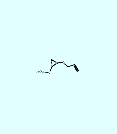 C=CCON1CC1OC(=O)OCC